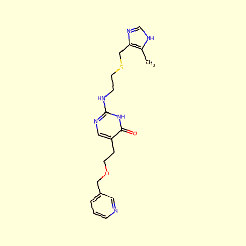 Cc1[nH]cnc1CSCCNc1ncc(CCOCc2cccnc2)c(=O)[nH]1